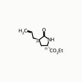 C=CC[C@@H]1C[C@@H](C(=O)OCC)NC1=O